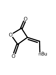 CCCCC=C1C(=O)OC1=O